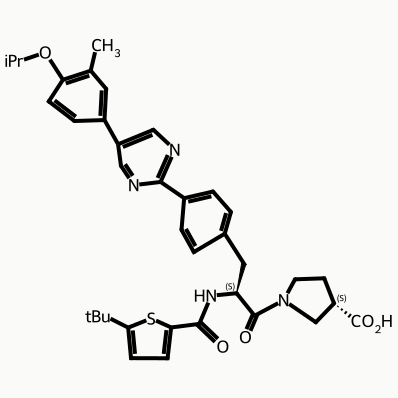 Cc1cc(-c2cnc(-c3ccc(C[C@H](NC(=O)c4ccc(C(C)(C)C)s4)C(=O)N4CC[C@H](C(=O)O)C4)cc3)nc2)ccc1OC(C)C